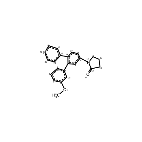 COc1cccc(-c2cc(N3CCCC3=O)ccc2-c2ccncc2)c1